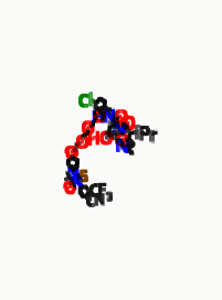 Cc1cc(C(C(=O)N2C[C@H](O)C[C@H]2C(=O)NCc2ccc(Cl)cc2OCCOCCOCCOc2ccc(N3C(=S)N(c4ccc(C#N)c(C(F)(F)F)c4)C(=O)C3(C)C)cc2)C(C)C)on1